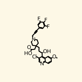 COc1ccc2ncc(Cl)c([C@H](O)CCC3(CC(=O)O)CCN(CC#Cc4cc(F)c(F)c(F)c4)CC3)c2c1